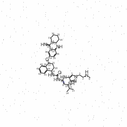 CNCCn1cc(N/C(=C\C(=N)C(C)C)NC(=O)NC2CC[C@@H](Oc3ccc(=N)n(C(=N)N4CCCCC4)c3)c3ccccc32)cn1